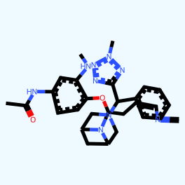 C=N/C=C\CC(Oc1ccc(NC(C)=O)cc1NC)N1C2CC1CN(C(c1ccccc1)c1nnn(C)n1)C2